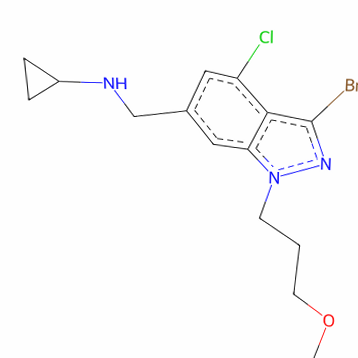 COCCCn1nc(Br)c2c(Cl)cc(CNC3CC3)cc21